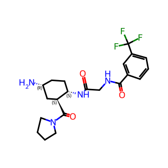 N[C@@H]1CC[C@H](NC(=O)CNC(=O)c2cccc(C(F)(F)F)c2)[C@@H](C(=O)N2CCCC2)C1